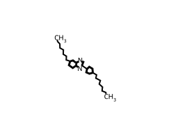 CCCCCCCCc1ccc(-c2cnc3cc(CCCCCCCC)ccc3n2)cc1